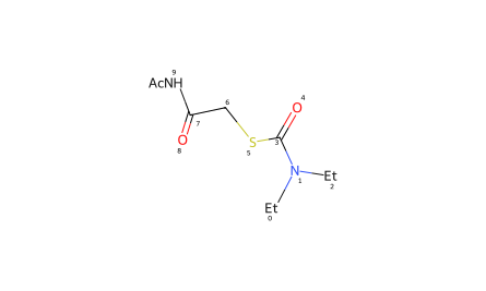 CCN(CC)C(=O)SCC(=O)NC(C)=O